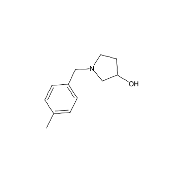 Cc1ccc(CN2CCC(O)C2)cc1